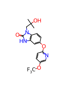 CC(C)(O)Cn1c(=O)[nH]c2cc(Oc3ccc(OC(F)(F)F)cn3)ccc21